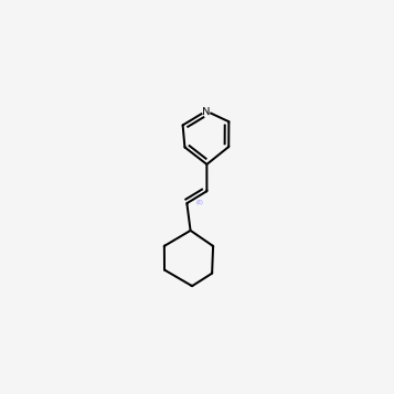 C(=C\C1CCCCC1)/c1ccncc1